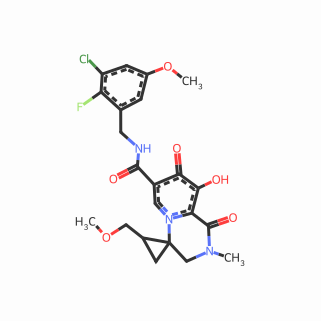 COCC1CC12CN(C)C(=O)c1c(O)c(=O)c(C(=O)NCc3cc(OC)cc(Cl)c3F)cn12